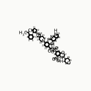 CC(C)c1ccccc1[C@@H]1CCC[C@@H]1N1CC2(CCN(c3ccc(C(=O)NS(=O)(=O)c4cc5c(c([N+](=O)[O-])c4)N[C@@H](C4CCOCC4)CO5)c(Oc4cc5cc[nH]c5nc4F)c3)CC2)C1